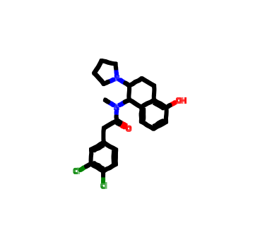 CN(C(=O)Cc1ccc(Cl)c(Cl)c1)C1c2cccc(O)c2CCC1N1CCCC1